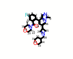 Cc1ncc2c(-c3ccc(F)cc3C(=O)N3[C@H](C)COC[C@H]3C)cc(C3CN(CC4CCOCC4)C3)cn12